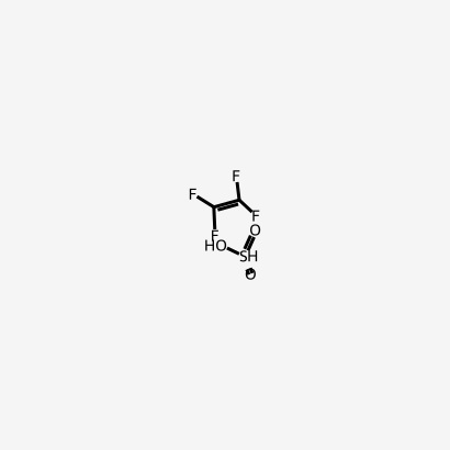 FC(F)=C(F)F.O=[SH](=O)O